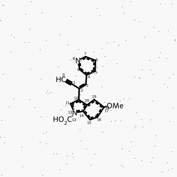 C#CC(=Cc1cccnc1)c1cn(C(=O)O)c2ccc(OC)cc12